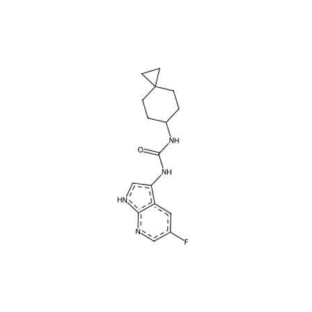 O=C(Nc1c[nH]c2ncc(F)cc12)NC1CCC2(CC1)CC2